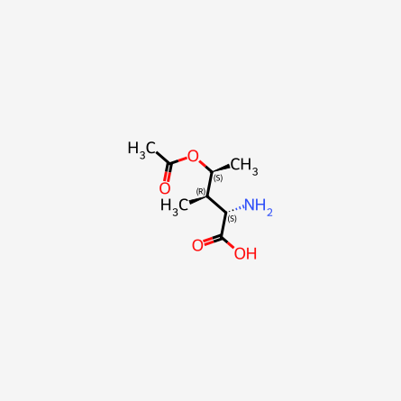 CC(=O)O[C@@H](C)[C@H](C)[C@H](N)C(=O)O